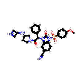 COc1ccc(S(=O)(=O)n2c(=O)n(C(C(=O)N3CC[C@H](NC4CNC4)C3)c3ccccc3)c3cc(C#N)ccc32)cc1